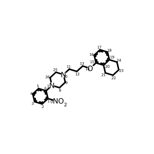 O=[N+]([O-])c1ccccc1N1CCN(CCCOc2cccc3c2CCCC3)CC1